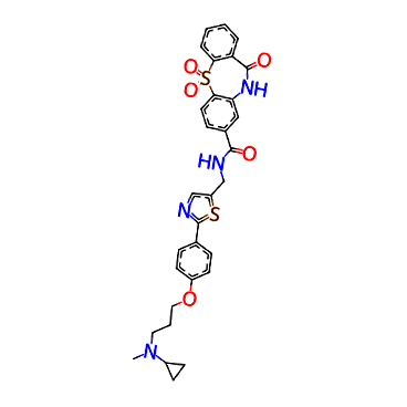 CN(CCCOc1ccc(-c2ncc(CNC(=O)c3ccc4c(c3)NC(=O)c3ccccc3S4(=O)=O)s2)cc1)C1CC1